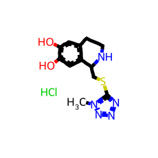 Cl.Cn1nnnc1SCC1NCCc2cc(O)c(O)cc21